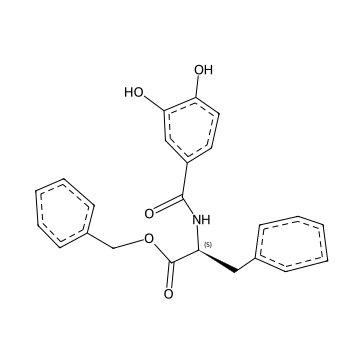 O=C(N[C@@H](Cc1ccccc1)C(=O)OCc1ccccc1)c1ccc(O)c(O)c1